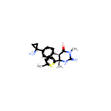 CN1C(=N)N[C@](C)(c2ccc(C#N)s2)[C@@H](c2ccc(C3(N)CC3)cc2)C1=O